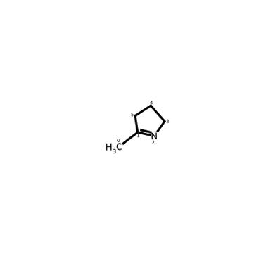 CC1=NCCC1